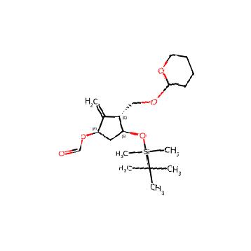 C=C1[C@H](OC=O)C[C@H](O[Si](C)(C)C(C)(C)C)[C@H]1COC1CCCCO1